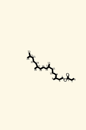 CCC(=O)OCCC(C)CCCC(C)CCCC(C)CCCC(C)C